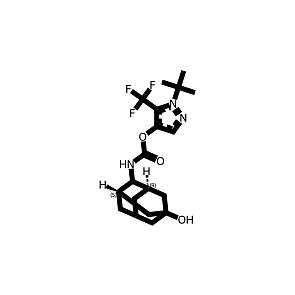 CC(C)(C)n1ncc(OC(=O)NC2[C@@H]3CC4C[C@H]2CC(O)(C4)C3)c1C(F)(F)F